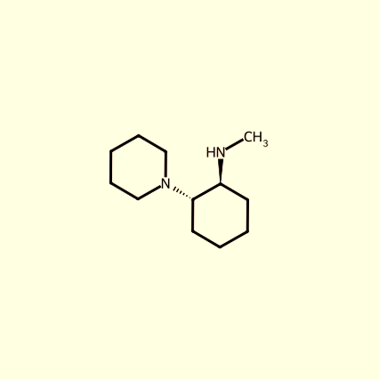 CN[C@H]1CCCC[C@@H]1N1CCCCC1